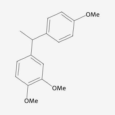 COc1ccc(C(C)c2ccc(OC)c(OC)c2)cc1